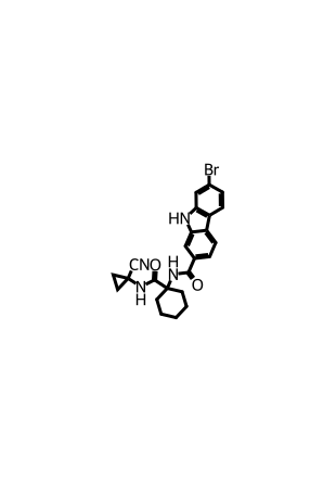 N#CC1(NC(=O)C2(NC(=O)c3ccc4c(c3)[nH]c3cc(Br)ccc34)CCCCC2)CC1